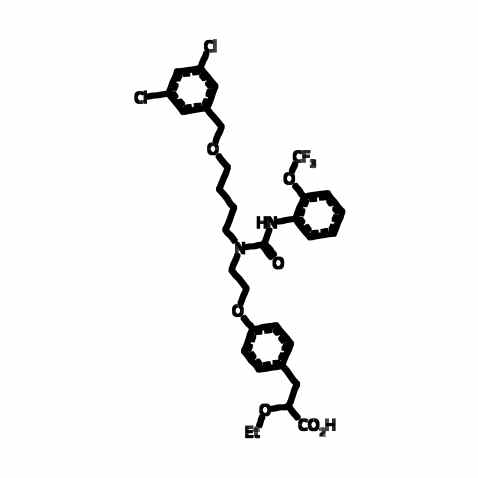 CCOC(Cc1ccc(OCCN(CCCCOCc2cc(Cl)cc(Cl)c2)C(=O)Nc2ccccc2OC(F)(F)F)cc1)C(=O)O